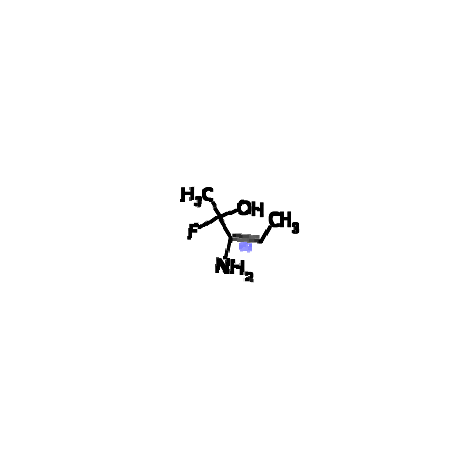 C/C=C(/N)C(C)(O)F